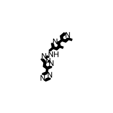 Cc1cc(-c2ncc(CNc3ncc4cc(-c5cnccn5)cnn34)cc2C)ccn1